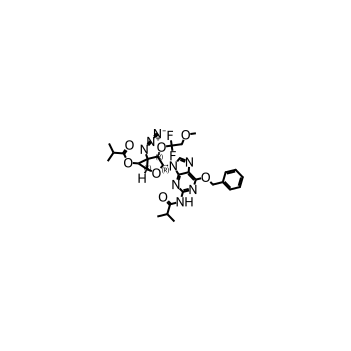 COCC(F)(F)O[C@H]1[C@H](n2cnc3c(OCc4ccccc4)nc(NC(=O)C(C)C)nc32)O[C@@H]2C(OC(=O)C(C)C)C21N=[N+]=[N-]